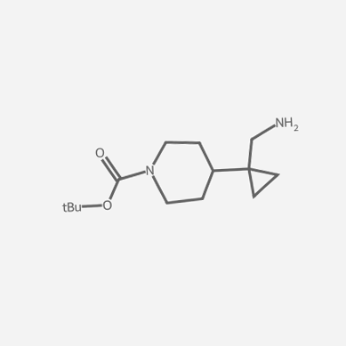 CC(C)(C)OC(=O)N1CCC(C2(CN)CC2)CC1